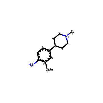 CCN1CCC(c2ccc(N)c(OC)c2)CC1